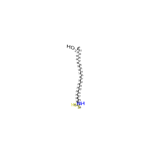 O=C(O)CCCCCCCCCCCCCCCCCCCCCCCCCCCCCCNC(=S)S